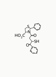 O=C(c1ccccc1)C(S)CC(=O)N1C(C(=O)O)CSC1c1ccccc1